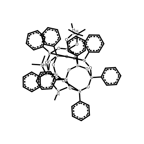 C[SiH](C)O[Si]1(O[SiH](C)C)O[Si]2(c3ccccc3)O[Si]3(c4ccccc4)O[Si]4(c5ccccc5)O[Si](O[SiH](C)C)(O[SiH](C)C)O[Si]5(c6ccccc6)O[Si](c6ccccc6)(O[Si](c6ccccc6)(O1)O[Si](c1ccccc1)(O5)O[Si](c1ccccc1)(O2)O4)O3